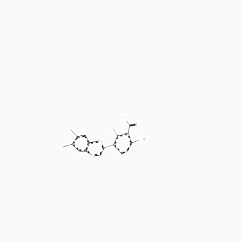 Cc1cc2ncc(-c3ccc(O)c(C(=O)O)c3C)nc2cc1C